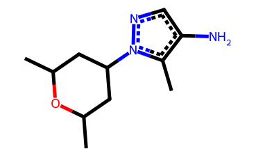 Cc1c(N)cnn1C1CC(C)OC(C)C1